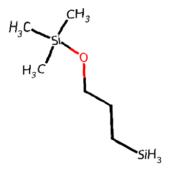 C[Si](C)(C)OCCC[SiH3]